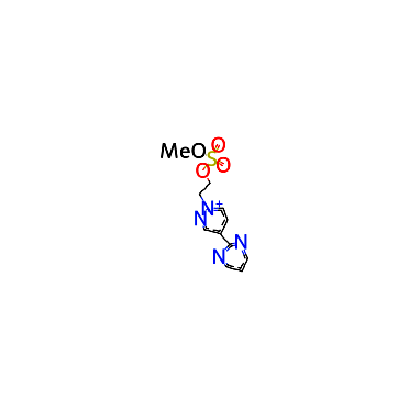 COS(=O)(=O)OCC[n+]1ccc(-c2ncccn2)cn1